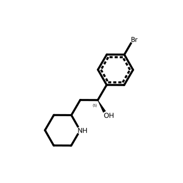 O[C@@H](CC1CCCCN1)c1ccc(Br)cc1